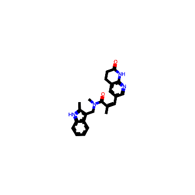 CC(=Cc1cnc2c(c1)CCC(=O)N2)C(=O)N(C)Cc1c(C)[nH]c2ccccc12